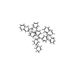 C1=CC2=Cc3c(n(-c4ccccc4-c4ccc(N(c5cccc(-c6ccccc6)c5)c5ccc(-c6ccccc6)c(-c6cccc7ccccc67)c5)cc4)c4ccccc34)CC2C=C1